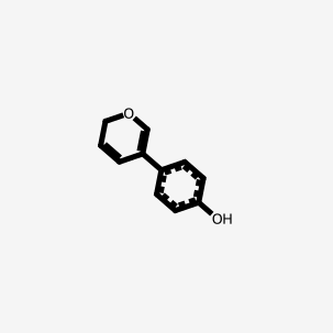 Oc1ccc(C2=COCC=C2)cc1